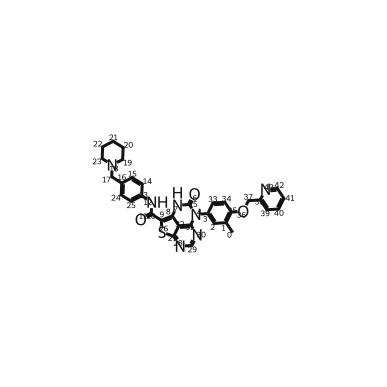 Cc1cc(N2C(=O)Nc3c(C(=O)Nc4ccc(CN5CCCCC5)cc4)sc4ncnc2c34)ccc1OCc1ccccn1